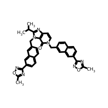 Cc1nc(-c2ccc3ccc(Cn4ccc5nc(C(C)C)n(Cc6ccc7ccc(-c8noc(C)n8)cc7c6)c5c4=O)cc3c2)no1